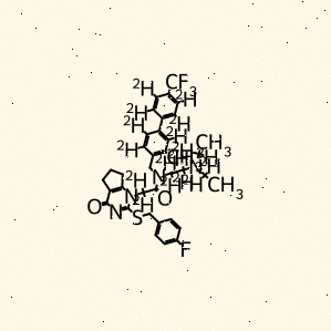 [2H]c1c([2H])c(-c2c([2H])c([2H])c(C(F)(F)F)c([2H])c2[2H])c([2H])c(C)c1CN(C(=O)C([2H])([2H])n1c(SCc2ccc(F)cc2)nc(=O)c2c1CCC2)C([2H])([2H])C([2H])([2H])N(C([2H])([2H])C)C([2H])([2H])C